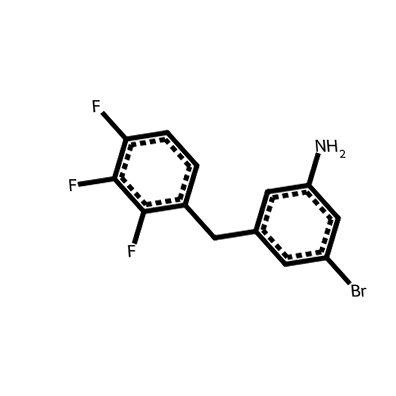 Nc1cc(Br)cc(Cc2ccc(F)c(F)c2F)c1